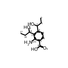 CCC(O)c1ccc(C(=O)O)c(N)c1C(O)CC